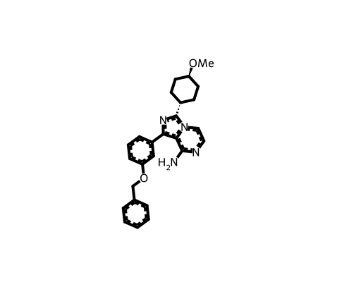 CO[C@H]1CC[C@H](c2nc(-c3cccc(OCc4ccccc4)c3)c3c(N)nccn32)CC1